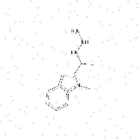 CC(NNN)c1cc2ccccc2n1C